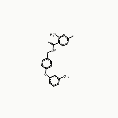 Cc1cccc(Oc2ccc(CNC(=O)c3ccc(F)nc3N)cc2)c1